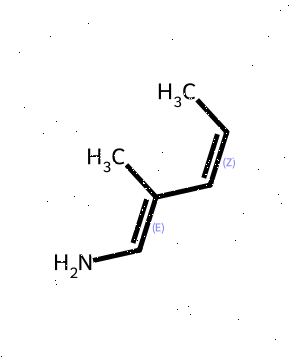 C/C=C\C(C)=C\N